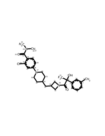 Cc1cccc(C(O)(C(=O)N2CC(CC3CCN(c4ccc(C(=O)N(C)C)c(Cl)c4)CC3)C2)C(F)(F)F)c1